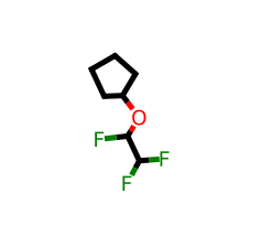 FC(F)C(F)OC1CCCC1